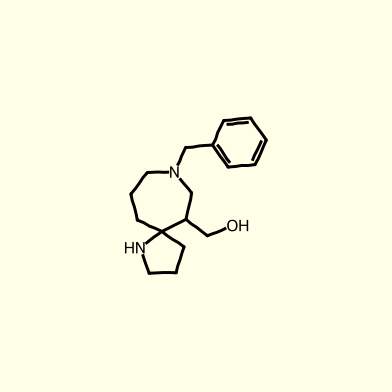 OCC1CN(Cc2ccccc2)CCCC12CCCN2